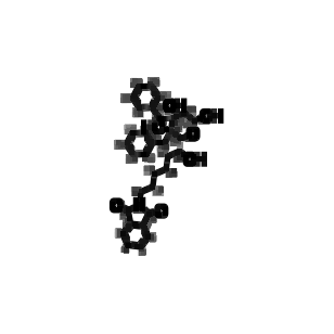 O=C1c2ccccc2C(=O)N1CCCCCC(O)[C@H]1O[C@H](O)C[C@](O)(Cc2ccccc2)[C@@]1(O)Cc1ccccc1